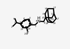 CC(C)c1ccc(CNCC23CC4CC(CC(C4)C2)C3)c(F)c1